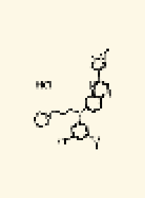 COc1cc(Cl)cc(N(CCCN2CCCC2)c2ccc3ncc(-c4cnn(C)c4)nc3c2)c1.Cl